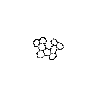 c1cc2cccc3c2c(c1)c1cccc2c4cccc5c6cccc7cccc(c76)c(c54)c3c12